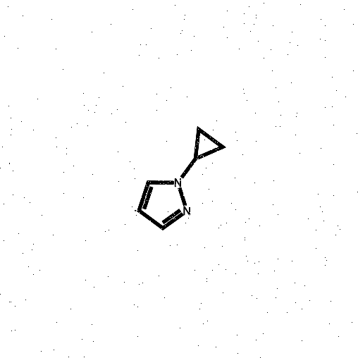 [c]1cnn(C2CC2)c1